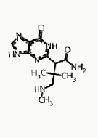 CNCC(C)(C)C(C(N)=O)c1nc2[nH]cnc2c(=O)[nH]1